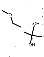 CC(C)(O)O.CCOC